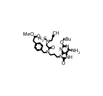 C#CCN(C)CC(=O)N(CCCn1c(=O)[nH]c2c(N)nc(OCCCC)nc21)Cc1ccc(CC(=O)OC)cc1